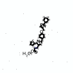 CCOC(=O)/C=C/c1cn(Cc2ccc(OCc3csc(-c4ccccc4)n3)cc2)nc1-c1cccs1